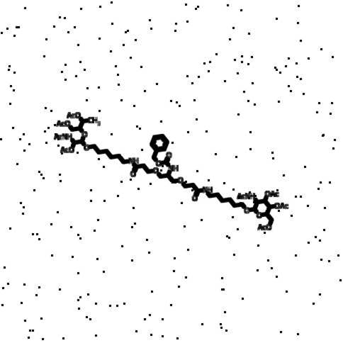 CC(=O)NC(OC(C)=O)C(OCCCCCCNC(=O)CCOCC(COCCC(=O)NCCCCCCOC1OC(COC(C)=O)C(OC(C)=O)C(OC(C)=O)C1NC(C)=O)NC(=O)OCc1ccccc1)OC(COC(C)=O)C(C)OC(C)=O